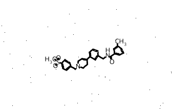 Cc1cccc(C(=O)NCc2cccc(C3=CCN(Cc4ccc(S(C)(=O)=O)cc4)CC3)c2)c1